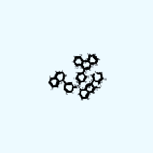 c1cc(-c2cccc3ccccc23)cc(N(c2ccc(-c3cc4ccccc4c4ccccc34)cc2)c2cccc3cc4oc5ccncc5c4cc23)c1